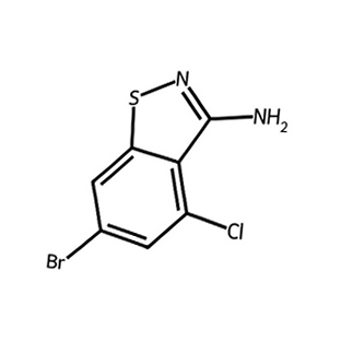 Nc1nsc2cc(Br)cc(Cl)c12